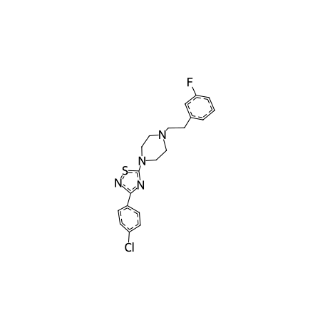 Fc1cccc(CCN2CCN(c3nc(-c4ccc(Cl)cc4)ns3)CC2)c1